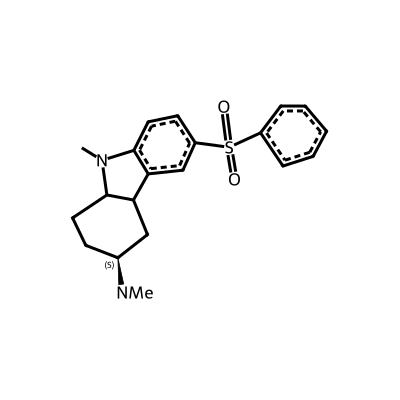 CN[C@H]1CCC2C(C1)c1cc(S(=O)(=O)c3ccccc3)ccc1N2C